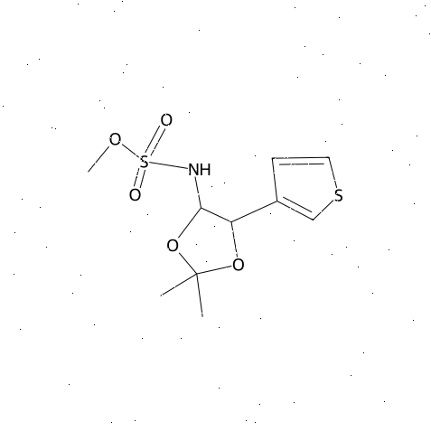 COS(=O)(=O)NC1OC(C)(C)OC1c1ccsc1